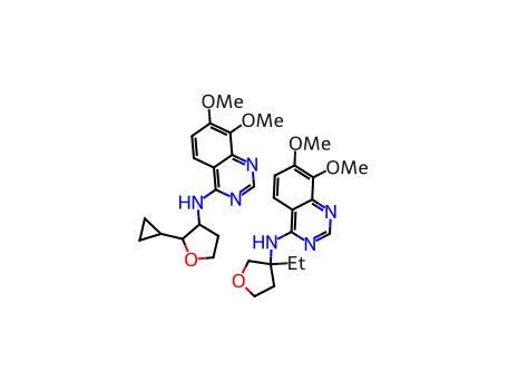 CCC1(Nc2ncnc3c(OC)c(OC)ccc23)CCOC1.COc1ccc2c(NC3CCOC3C3CC3)ncnc2c1OC